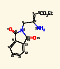 CCOC(=O)C=C(N)CN1C(=O)c2ccccc2C1=O